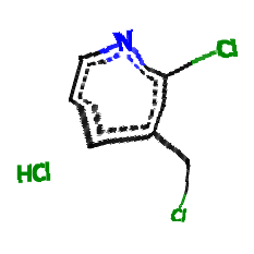 Cl.ClCc1cccnc1Cl